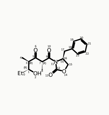 CC[C@@H](O)[C@@H](C)C(=O)[C@@H](C)C(=O)N1C(=O)OC[C@@H]1Cc1ccccc1